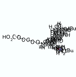 CC[C@H](NC(=O)[C@H](C)NC(=O)[C@H](CC(C)C)NC(=O)[C@H](CC(=O)OC(C)(C)C)NC(=O)CNC(=O)[C@H](CCCN/C(=N\C(=O)OC(C)(C)C)NC(=O)OC(C)(C)C)NC(C)=O)C(=O)N[C@@H](CC(C)C)C(=O)N[C@@H](CCCNC(N)=O)C(=O)NC(C)(C)C(=O)N[C@@H](CC(C)C)C(=O)NCCOCCOCCOCCOCCOCCC(=O)O